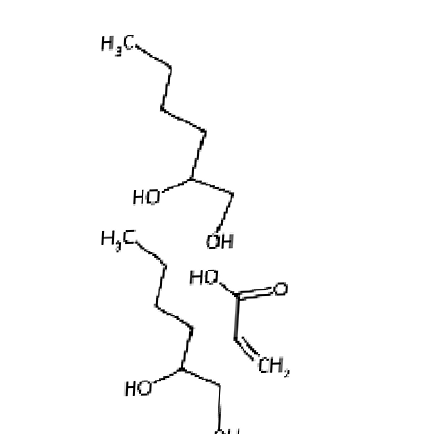 C=CC(=O)O.CCCCC(O)CO.CCCCC(O)CO